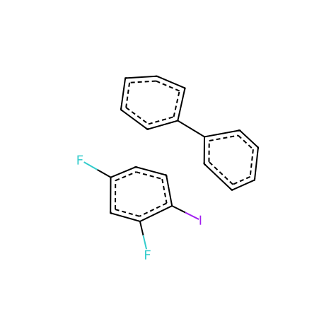 Fc1ccc(I)c(F)c1.c1ccc(-c2ccccc2)cc1